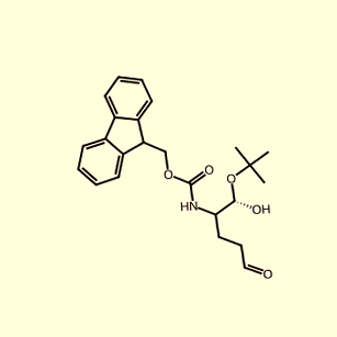 CC(C)(C)O[C@H](O)C(CCC=O)NC(=O)OCC1c2ccccc2-c2ccccc21